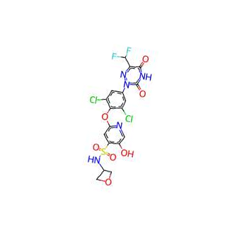 O=c1[nH]c(=O)n(-c2cc(Cl)c(Oc3cc(S(=O)(=O)NC4COC4)c(O)cn3)c(Cl)c2)nc1C(F)F